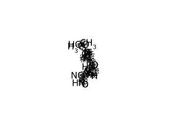 CC(C)(CO)C(=O)SCCOP(=O)(Oc1ccccc1)C(F)(F)c1ccc2sc(C(=O)N[C@H]3CCCC[C@H]4CC[C@@H](C(=O)N5C[C@H](c6cc[nH]c(=O)c6)[C@@H](C#N)C5)N4C3=O)cc2c1